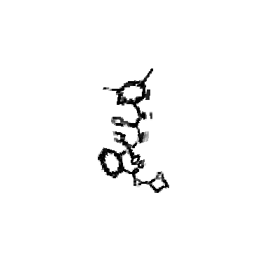 Cc1cc(C)nc(NC(=O)NS(=O)(=O)c2ccccc2C(=O)OC2CCO2)n1